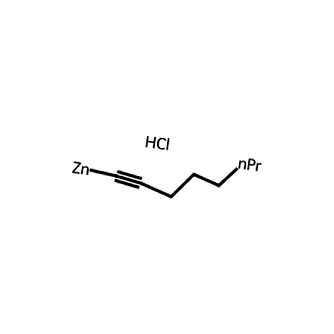 CCCCCCC#[C][Zn].Cl